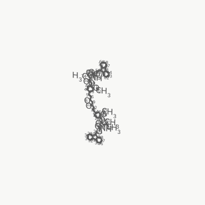 COc1cc(/C=C/C(=O)CC(=O)/C=C/c2ccc(OC(=O)[C@@H](NC(=O)OCC3c4ccccc4-c4ccccc43)C(C)C)c(OC)c2)ccc1OC(=O)C(NC(=O)OCC1c2ccccc2-c2ccccc21)C(C)C